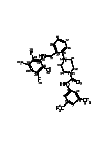 O=C(Nc1cc(C(F)(F)F)cc(C(F)(F)F)c1)N1CCN(c2ccccc2CNc2c(F)c(F)nc(F)c2Cl)CC1